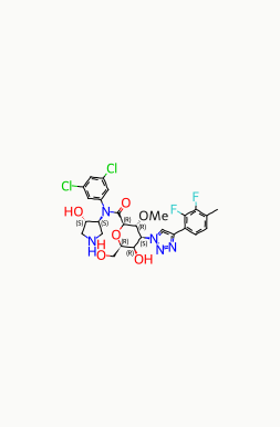 CO[C@@H]1[C@@H](n2cc(-c3ccc(C)c(F)c3F)nn2)[C@@H](O)[C@@H](CO)O[C@H]1C(=O)N(c1cc(Cl)cc(Cl)c1)[C@H]1CNC[C@@H]1O